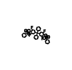 O=S(=O)(Oc1c(F)cc(C(c2ccccc2)(c2ccccc2)c2cc(F)c(OS(=O)(=O)c3ccccc3)c(F)c2)cc1F)c1ccccc1